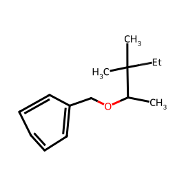 CCC(C)(C)C(C)OCc1ccccc1